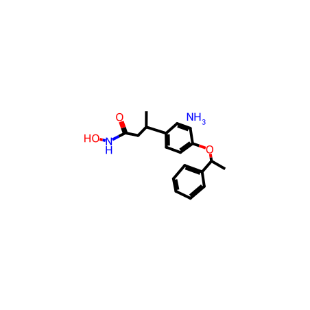 CC(CC(=O)NO)c1ccc(OC(C)c2ccccc2)cc1.N